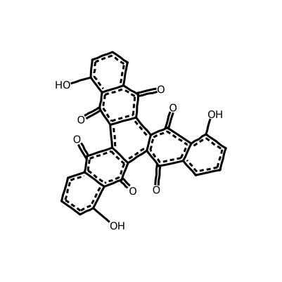 O=c1c2cccc(O)c2c(=O)c2c1c1c(=O)c3c(O)cccc3c(=O)c1c1c(=O)c3c(O)cccc3c(=O)c21